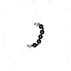 Nc1ccc(Cc2ccc(-c3ccc(-c4ccc(Cc5ccc(N)cc5)cc4)cc3)cc2)cc1